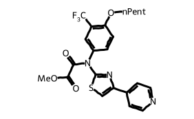 CCCCCOc1ccc(N(C(=O)C(=O)OC)c2nc(-c3ccncc3)cs2)cc1C(F)(F)F